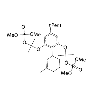 CCCCCc1cc(OC(C)(C)OP(=O)(OC)OC)c(C2C=C(C)CCC2)c(OC(C)(C)OP(=O)(OC)OC)c1